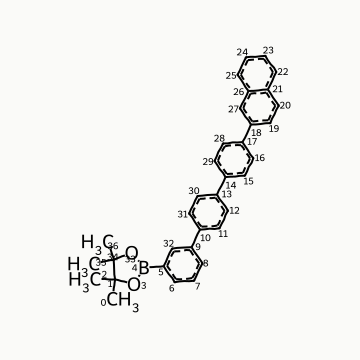 CC1(C)OB(c2cccc(-c3ccc(-c4ccc(-c5ccc6ccccc6c5)cc4)cc3)c2)OC1(C)C